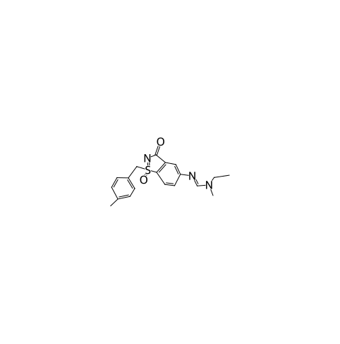 CCN(C)/C=N/c1ccc2c(c1)C(=O)N=S2(=O)Cc1ccc(C)cc1